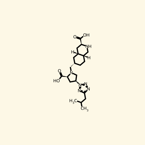 CC(C)Cc1nnn([C@H]2C[C@@H](C(=O)O)N(C[C@H]3CC[C@H]4CN[C@H](C(=O)O)C[C@H]4C3)C2)n1